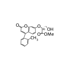 COC(=O)[C@@H](CO)Oc1ccc2c(-c3ccccc3C)cc(=O)oc2c1